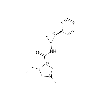 CCC1CN(C)C[C@@H]1C(=O)NC1C[C@H]1c1ccccc1